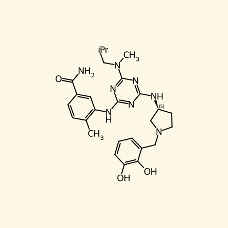 Cc1ccc(C(N)=O)cc1Nc1nc(N[C@H]2CCN(Cc3cccc(O)c3O)C2)nc(N(C)CC(C)C)n1